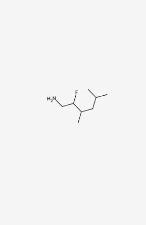 CC(C)CC(C)C(F)CN